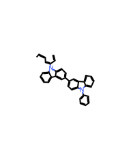 C=C/C(=C\C=C/C)n1c2ccccc2c2cc(-c3ccc4c(c3)c3ccccc3n4-c3ccccc3)ccc21